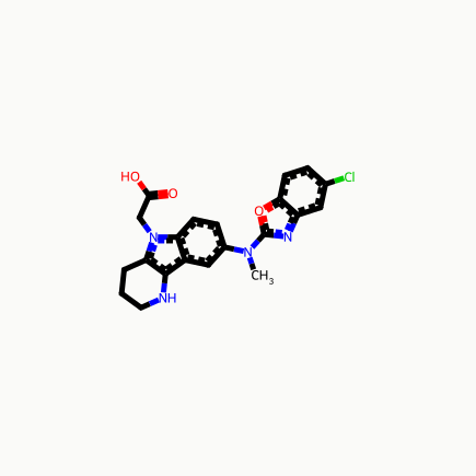 CN(c1ccc2c(c1)c1c(n2CC(=O)O)CCCN1)c1nc2cc(Cl)ccc2o1